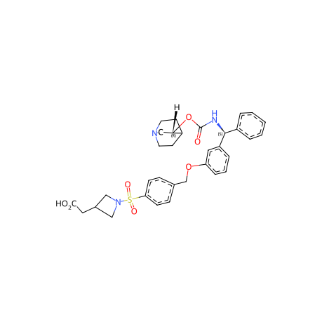 O=C(O)CC1CN(S(=O)(=O)c2ccc(COc3cccc([C@@H](NC(=O)O[C@H]4CN5CCC4CC5)c4ccccc4)c3)cc2)C1